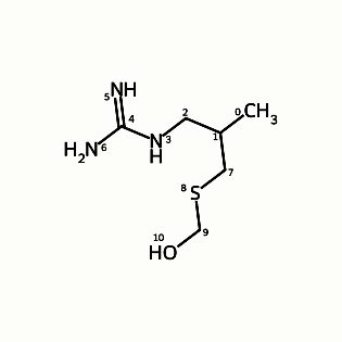 CC(CNC(=N)N)CSCO